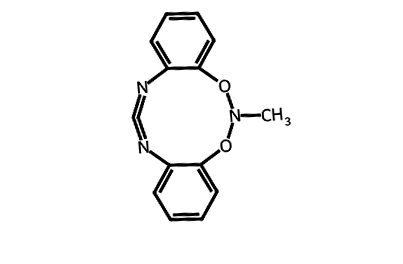 CN1Oc2ccccc2N=C=Nc2ccccc2O1